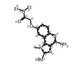 CCCCc1nc2c(N)nc3ccc(OCC(=O)N(CC)CC)cc3c2n1C